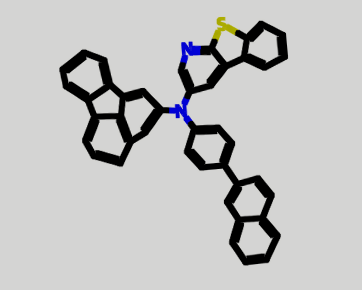 c1ccc2c(c1)-c1cccc3cc(N(c4ccc(-c5ccc6ccccc6c5)cc4)c4cnc5sc6ccccc6c5c4)cc-2c13